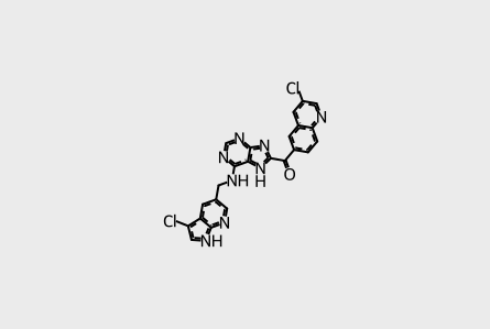 O=C(c1ccc2ncc(Cl)cc2c1)c1nc2ncnc(NCc3cnc4[nH]cc(Cl)c4c3)c2[nH]1